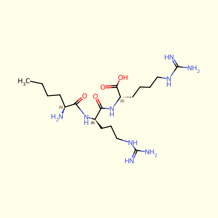 CCCC[C@H](N)C(=O)N[C@H](CCCNC(=N)N)C(=O)N[C@@H](CCCCNC(=N)N)C(=O)O